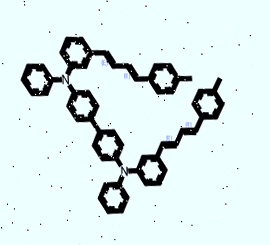 Cc1ccc(/C=C/C=C/c2cccc(N(c3ccccc3)c3ccc(-c4ccc(N(c5ccccc5)c5cccc(/C=C/C=C/c6ccc(C)cc6)c5)cc4)cc3)c2)cc1